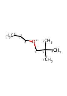 CCCOCC(C)(C)C